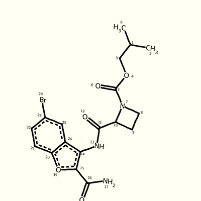 CC(C)COC(=O)N1CCC1C(=O)Nc1c(C(N)=O)oc2ccc(Br)cc12